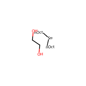 CCCCCCC[CH2][Sn][CH2]CCCCCCC.OCCO